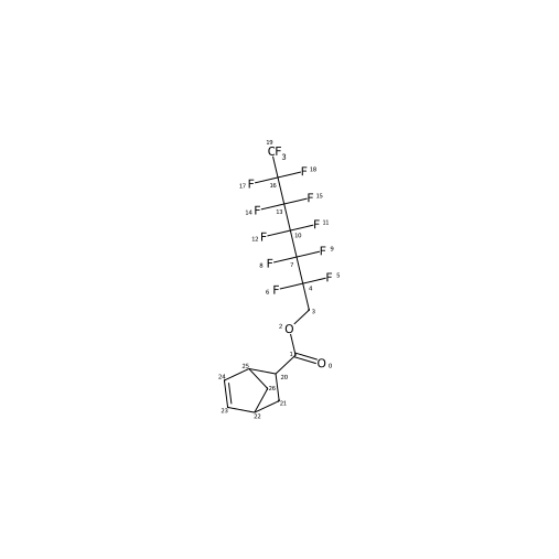 O=C(OCC(F)(F)C(F)(F)C(F)(F)C(F)(F)C(F)(F)C(F)(F)F)C1CC2C=CC1C2